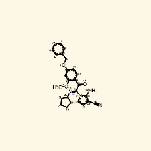 COc1cc(OCc2ccccc2)ccc1C(=O)/C(=N/C1CCCC1)n1ccc(C#N)c1N